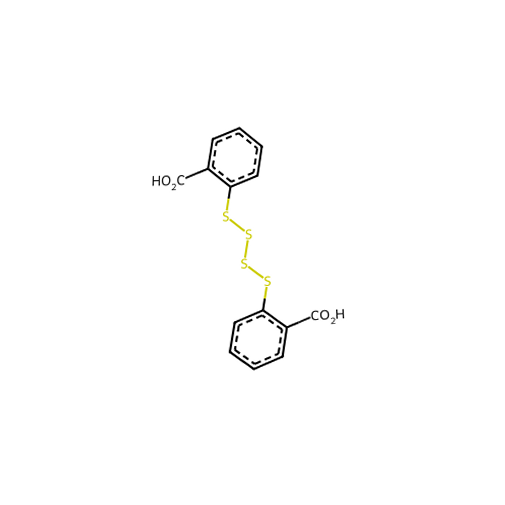 O=C(O)c1ccccc1SSSSc1ccccc1C(=O)O